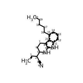 C=CC(C#N)C1CCc2c([nH]c3cccc(CCCCC)c23)N1